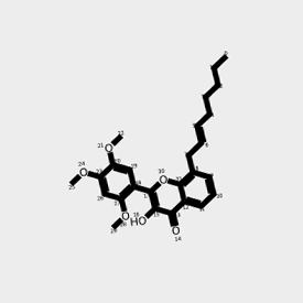 CCCCCC=CCc1cccc2c(=O)c(O)c(-c3cc(OC)c(OC)cc3OC)oc12